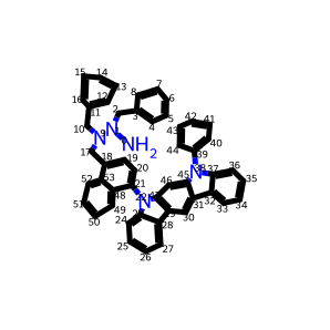 NN(Cc1ccccc1)N(Cc1ccccc1)Cc1ccc(-n2c3ccccc3c3cc4c5ccccc5n(-c5ccccc5)c4cc32)c2ccccc12